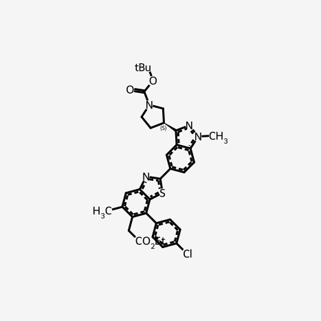 CCOC(=O)Cc1c(C)cc2nc(-c3ccc4c(c3)c([C@H]3CCN(C(=O)OC(C)(C)C)C3)nn4C)sc2c1-c1ccc(Cl)cc1